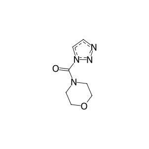 O=C(N1CCOCC1)n1ccnn1